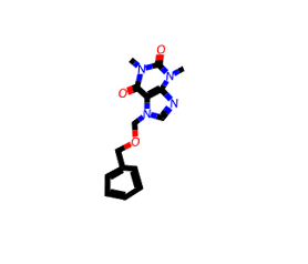 Cn1c(=O)c2c(ncn2COCc2ccccc2)n(C)c1=O